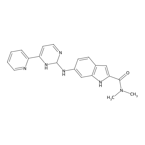 CN(C)C(=O)c1cc2ccc(NC3N=CC=C(c4ccccn4)N3)cc2[nH]1